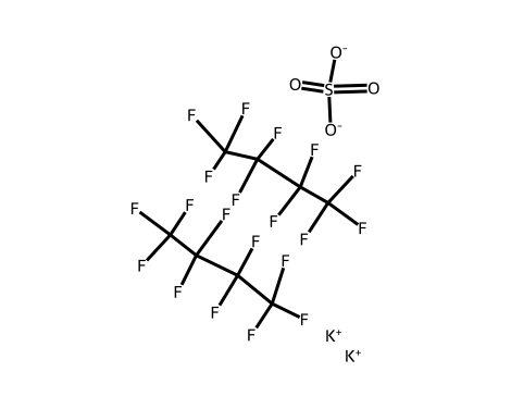 FC(F)(F)C(F)(F)C(F)(F)C(F)(F)F.FC(F)(F)C(F)(F)C(F)(F)C(F)(F)F.O=S(=O)([O-])[O-].[K+].[K+]